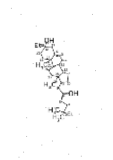 CCC(C)(C)CCC(O)CC1CCC2C3CC=C4C[C@](O)(CC)CCC4(C)C3CCC12C